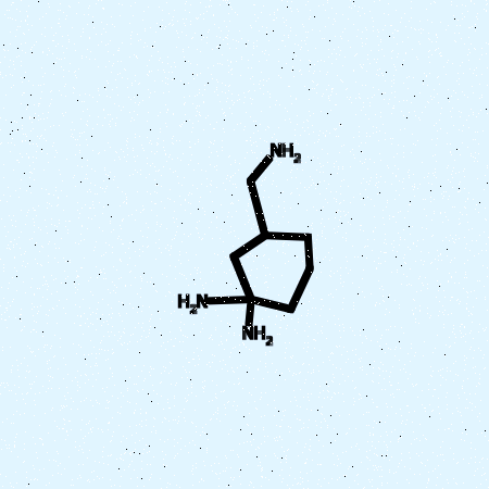 NCC1CCCC(N)(N)C1